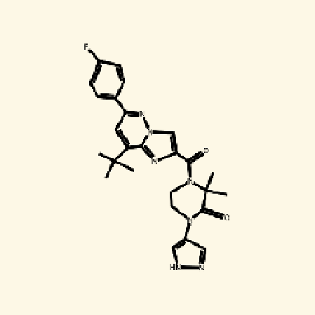 CC(C)(C)c1cc(-c2ccc(F)cc2)nn2cc(C(=O)N3CCN(c4cn[nH]c4)C(=O)C3(C)C)nc12